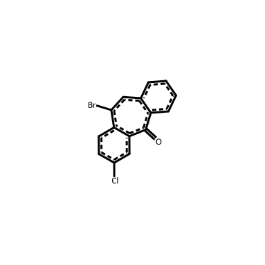 O=c1c2ccccc2cc(Br)c2ccc(Cl)cc12